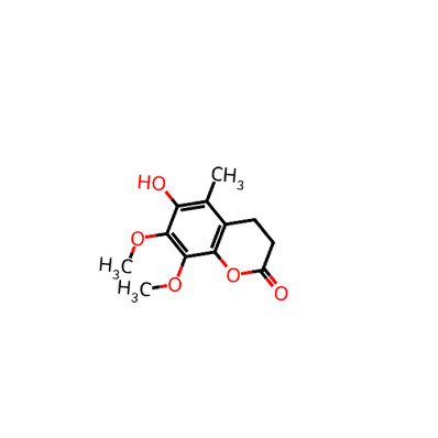 COc1c(O)c(C)c2c(c1OC)OC(=O)CC2